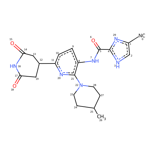 [C-]#[N+]c1c[nH]c(C(=O)Nc2ccc(C3CC(=O)NC(=O)C3)nc2N2CCC(C)CC2)n1